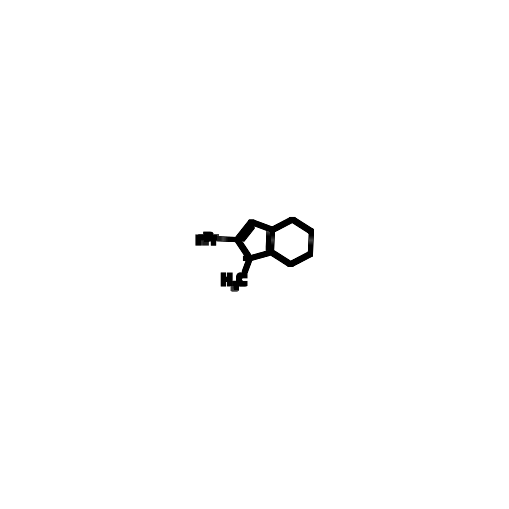 CCCC1=CC2=C(CCCC2)[C]1C